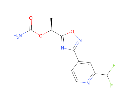 C[C@H](OC(N)=O)c1nc(-c2ccnc(C(F)F)c2)no1